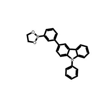 c1ccc(-n2c3ccccc3c3cc(-c4cccc(B5OCCO5)c4)ccc32)cc1